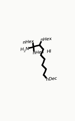 CCCCCCCCCCCCCCCCC(CCCCCC)C(N)(CCCCCC)CCCCCC.I